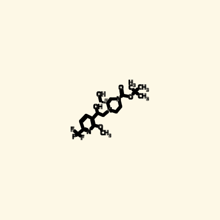 COc1nc(C(F)(F)F)ccc1C(O)CN1CCN(C(=O)OC(C)(C)C)C[C@H]1CO